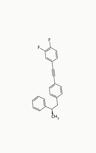 C[C@H](Cc1ccc(C#Cc2ccc(F)c(F)c2)cc1)c1ccccc1